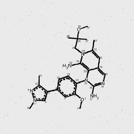 COc1cc(-c2cn(C)nc2C)ccc1N1C(N)=NC=C2C=C(C)N(CC(C)(C)OC)C(N)=C21